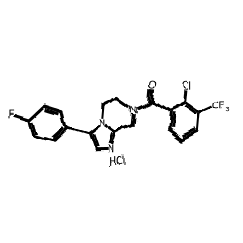 Cl.O=C(c1cccc(C(F)(F)F)c1Cl)N1CCn2c(-c3ccc(F)cc3)cnc2C1